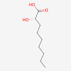 CCCCCCC[C@H](O)C(=O)O